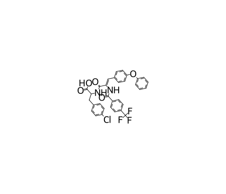 O=C(NC(Cc1ccc(Cl)cc1)C(=O)O)C(=Cc1ccc(Oc2ccccc2)cc1)NC(=O)c1ccc(C(F)(F)F)cc1